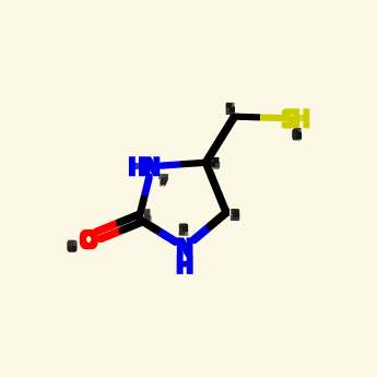 O=C1NCC(CS)N1